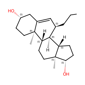 CCC[C@@H]1C=C2C[C@@H](O)CC[C@]2(C)[C@H]2CC[C@]3(C)[C@@H](O)CC[C@H]3[C@H]12